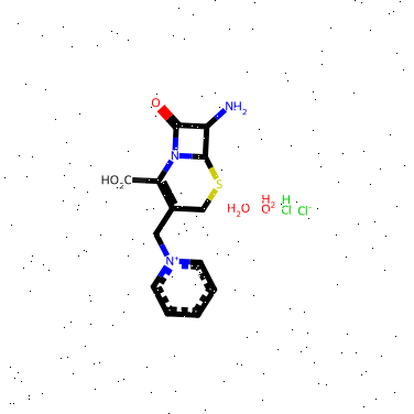 Cl.NC1C(=O)N2C(C(=O)O)=C(C[n+]3ccccc3)CSC12.O.O.[Cl-]